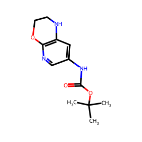 CC(C)(C)OC(=O)Nc1cnc2c(c1)NCCO2